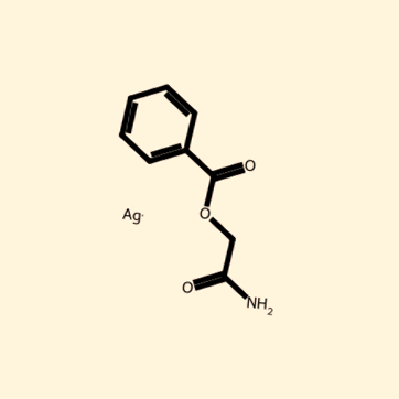 NC(=O)COC(=O)c1ccccc1.[Ag]